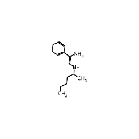 CCCCC(C)N/C=C(\N)C1=CCCC=C1